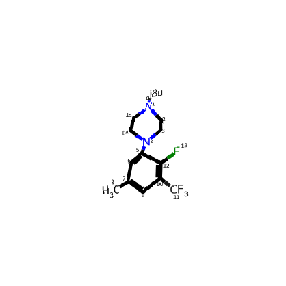 CCC(C)N1CCN(c2cc(C)cc(C(F)(F)F)c2F)CC1